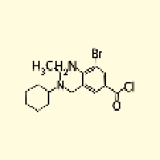 CCN(Cc1cc(C(=O)Cl)cc(Br)c1N)C1CCCCC1